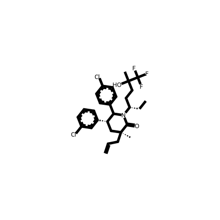 C=CC[C@@]1(C)C[C@H](c2cccc(Cl)c2)C(c2ccc(Cl)cc2)N([C@@H](CC)CCC(C)(O)C(F)(F)F)C1=O